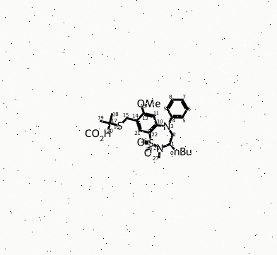 CCCC[C@@H]1CN(c2ccccc2)c2cc(OC)c(CSC(C)(C)C(=O)O)cc2S(=O)(=O)N1C